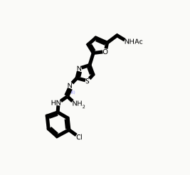 CC(=O)NCc1ccc(-c2csc(/N=C(\N)Nc3cccc(Cl)c3)n2)o1